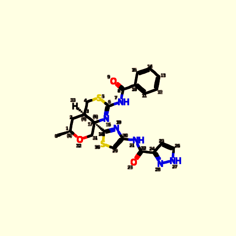 C[C@H]1C[C@H]2CSC(NC(=O)c3ccccc3)=N[C@@]2(c2nc(NC(=O)c3cc[nH]n3)cs2)CO1